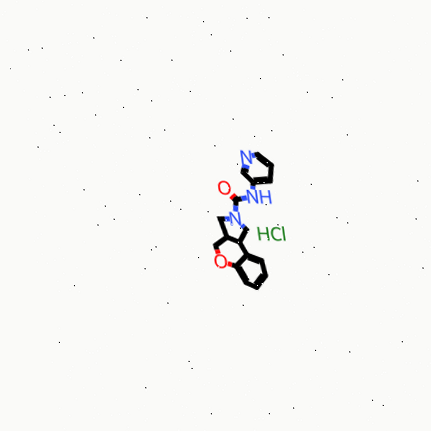 Cl.O=C(Nc1cccnc1)N1CC2COc3ccccc3C2C1